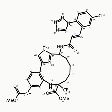 COC(=O)Nc1ccc2c(c1)NC(C(=O)OC)(C(F)(F)F)CCCCC(NC(=O)/C=C/c1cc(Cl)ccc1-n1cnnn1)c1nc-2c[nH]1